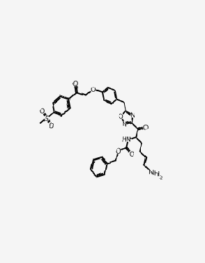 CS(=O)(=O)c1ccc(C(=O)COc2ccc(Cc3nc(C(=O)C(CCCCN)NC(=O)OCc4ccccc4)no3)cc2)cc1